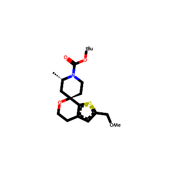 COCc1cc2c(s1)[C@]1(CCN(C(=O)OC(C)(C)C)[C@@H](C)C1)OCC2